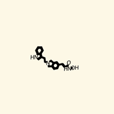 O=C(C=Cc1ccc2c(c1)CN(CCc1c[nH]c3ccccc13)C2)NO